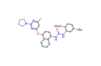 COc1ccc(C(C)(C)C)cc1NC(=O)Nc1ccc(Oc2cc(C)nc(N3CCCC3)n2)c2ccccc12